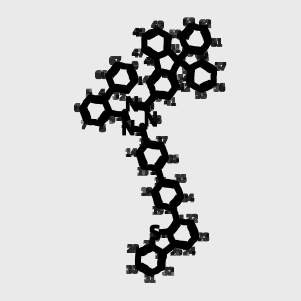 c1ccc(-c2ccccc2-c2nc(-c3ccc(-c4ccc(-c5cccc6c5sc5ccccc56)cc4)cc3)nc(-c3ccc4c(c3)-c3ccccc3C4(c3ccccc3)c3ccccc3)n2)cc1